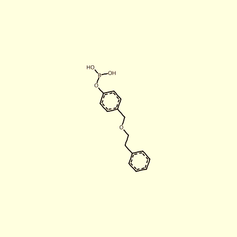 OB(O)Oc1ccc(COCCc2ccccc2)cc1